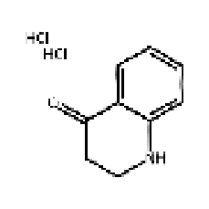 Cl.Cl.O=C1CCNc2ccccc21